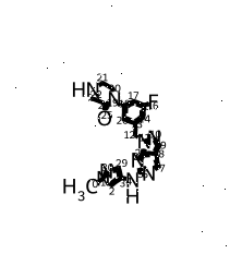 Cn1cc(Nc2ncc3cnn(Cc4cc(F)cc(N5CCNCC5=O)c4)c3n2)cn1